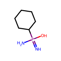 N=P(N)(O)C1CCCCC1